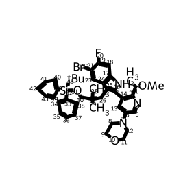 CO[C@@H](C)c1ncc(N2CCOCC2)cc1-c1[nH]c2cc(F)c(Br)cc2c1CC(C)(C)CO[Si](c1ccccc1)(c1ccccc1)C(C)(C)C